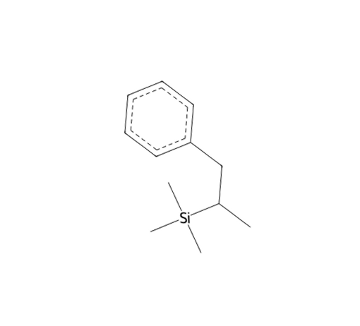 CC(Cc1ccccc1)[Si](C)(C)C